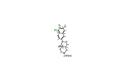 CCCCCC[C@@H]1CC[C@@H]2CC(c3ccc4c(F)c(F)c(F)cc4c3)CCC2C1